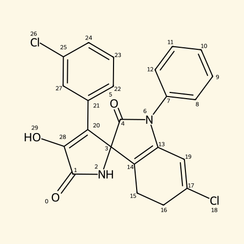 O=C1NC2(C(=O)N(c3ccccc3)C3=C2CCC(Cl)=C3)C(c2cccc(Cl)c2)=C1O